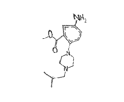 COC(=O)c1cc(N)ccc1N1CCN(C[C](C)C)CC1